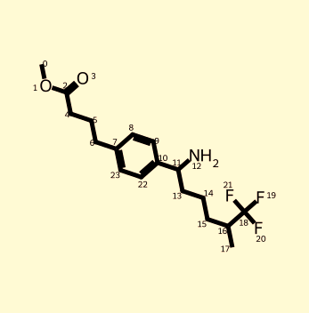 COC(=O)CCCc1ccc(C(N)CCCC(C)C(F)(F)F)cc1